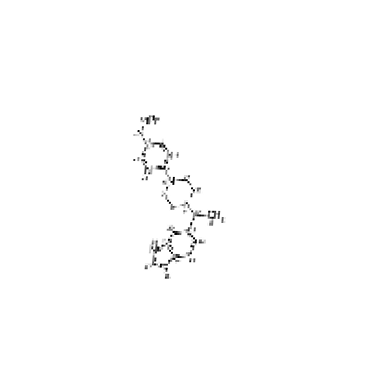 CCCSc1cnc(N2CCN(C(C)c3ccc4scnc4c3)CC2)nc1